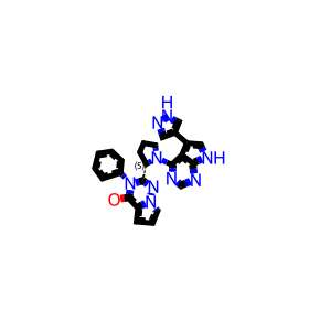 O=c1c2cccn2nc([C@@H]2CCCN2c2ncnc3[nH]cc(-c4cn[nH]c4)c23)n1-c1ccccc1